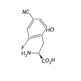 Cl.N#Cc1ccc(C[C@H](N)C(=O)O)c(F)c1